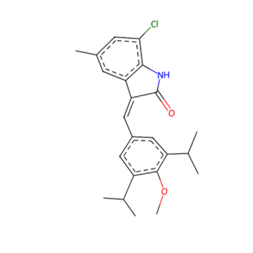 COc1c(C(C)C)cc(C=C2C(=O)Nc3c(Cl)cc(C)cc32)cc1C(C)C